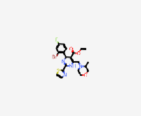 CCOC(=O)C1=C(CN2CCOCC2C)NC(c2nccs2)=NC1c1ccc(F)cc1Br